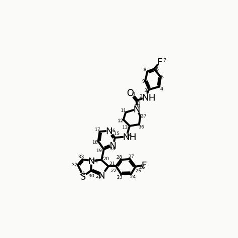 O=C(Nc1ccc(F)cc1)N1CCC(Nc2nccc(C3C(c4ccc(F)cc4)N=C4SC=CN43)n2)CC1